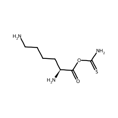 NCCCC[C@H](N)C(=O)OC(N)=S